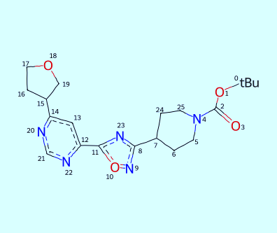 CC(C)(C)OC(=O)N1CCC(c2noc(-c3cc(C4CCOC4)ncn3)n2)CC1